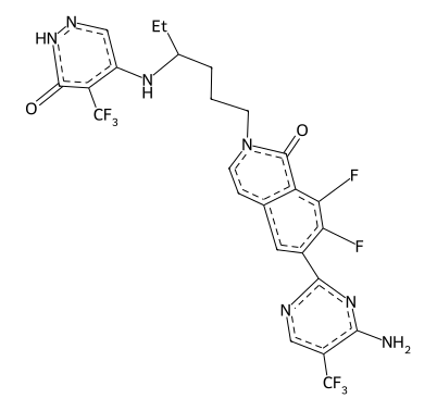 CCC(CCCn1ccc2cc(-c3ncc(C(F)(F)F)c(N)n3)c(F)c(F)c2c1=O)Nc1cn[nH]c(=O)c1C(F)(F)F